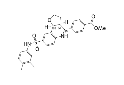 COC(=O)c1ccc([C@@H]2Nc3ccc(S(=O)(=O)Nc4ccc(C)c(C)c4)cc3[C@H]3OCC[C@H]32)cc1